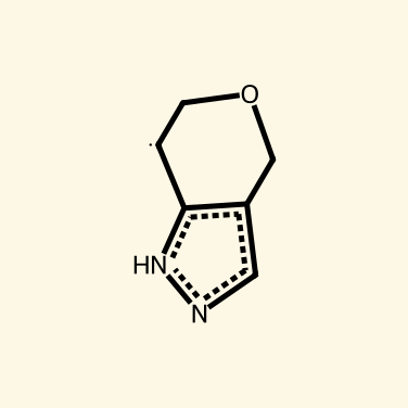 [CH]1COCc2cn[nH]c21